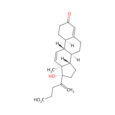 C=C(CCC(=O)O)[C@]1(O)CC[C@H]2[C@@H]3CCC4=CC(=O)CC[C@@H]4[C@H]3C=C[C@@]21C